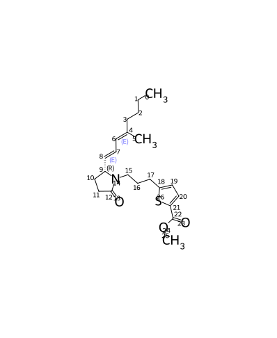 CCCC/C(C)=C/C=C/[C@H]1CCC(=O)N1CCCc1ccc(C(=O)OC)s1